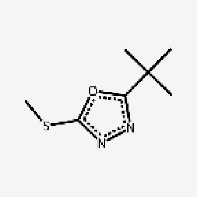 CSc1nnc(C(C)(C)C)o1